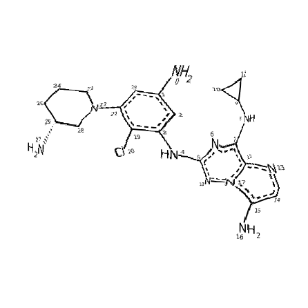 Nc1cc(Nc2nc(NC3CC3)c3ncc(N)n3n2)c(Cl)c(N2CCC[C@@H](N)C2)c1